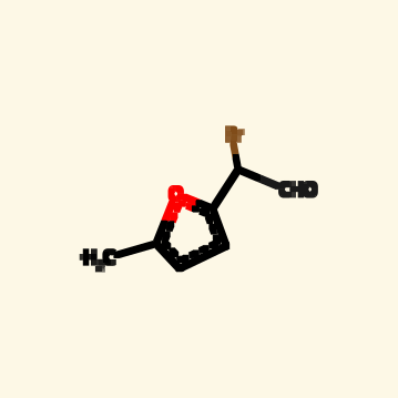 [CH2]c1ccc(C(Br)C=O)o1